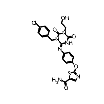 NC(=O)c1cnc(Oc2ccc(/N=c3\[nH]c(=O)n(CCO)c(=O)n3Cc3ccc(Cl)cc3)cc2)s1